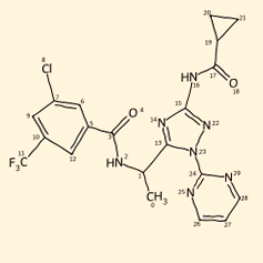 CC(NC(=O)c1cc(Cl)cc(C(F)(F)F)c1)c1nc(NC(=O)C2CC2)nn1-c1ncccn1